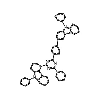 c1ccc(-c2nc(-c3ccc(-c4ccc5c(c4)c4ccccc4n5-c4ccccc4)cc3)nc(-c3cccc4c3c3ccccc3n4-c3ccccc3)n2)cc1